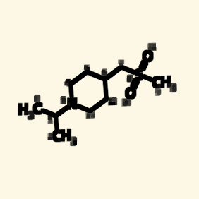 CC(C)N1CCC(CS(C)(=O)=O)CC1